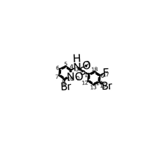 O=S(=O)(Nc1cccc(Br)n1)c1ccc(Br)c(F)c1